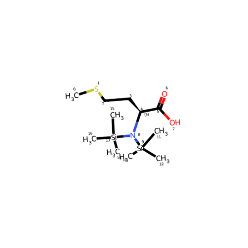 CSCC[C@@H](C(=O)O)N([Si](C)(C)C)[Si](C)(C)C